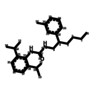 CCCCC(CNC(=O)Nc1c(C(C)C)cccc1C(C)C)c1cccc(C)c1